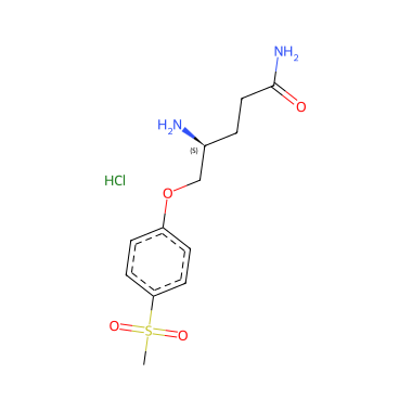 CS(=O)(=O)c1ccc(OC[C@@H](N)CCC(N)=O)cc1.Cl